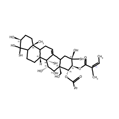 C/C=C(/C)C(=O)O[C@H]1[C@H](OC(=O)C(C)C)[C@@]2(CO)C(C[C@]1(O)S)C1=CCC3[C@@H](CCC4C(S)(S)[C@@H](O)CC[C@]34C)[C@]1(S)[C@@H](O)[C@H]2O